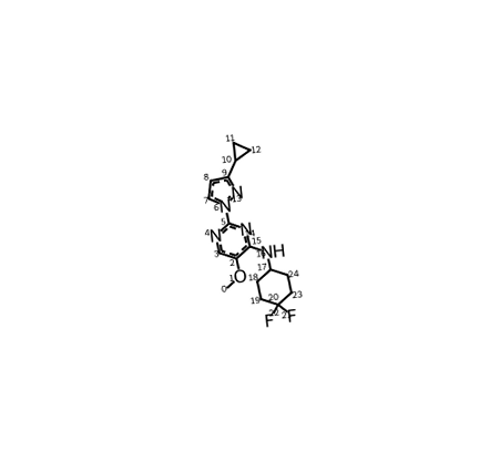 COc1cnc(-n2ccc(C3CC3)n2)nc1NC1CCC(F)(F)CC1